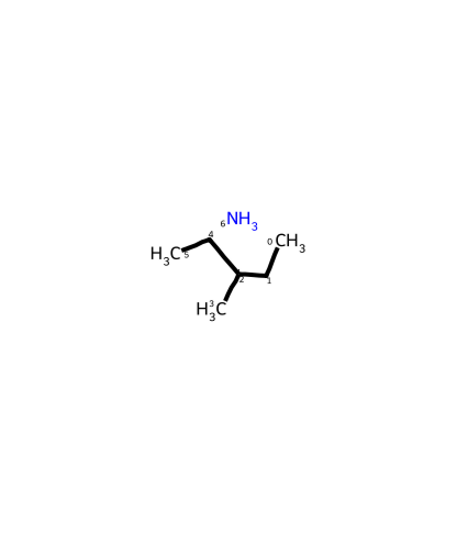 CC[C](C)CC.N